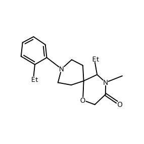 CCc1ccccc1N1CCC2(CC1)OCC(=O)N(C)C2CC